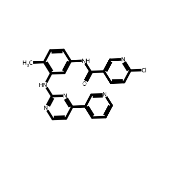 Cc1ccc(NC(=O)c2ccc(Cl)nc2)cc1Nc1nccc(-c2cccnc2)n1